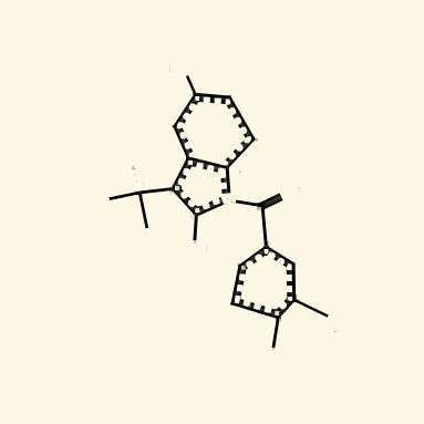 CC[C@@](C)(C(=O)O)c1c(C)n(C(=O)c2ccc(Cl)c(Cl)c2)c2ccc(O)cc12